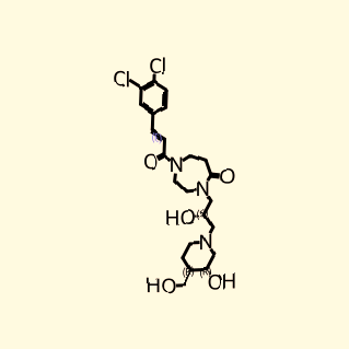 O=C(/C=C/c1ccc(Cl)c(Cl)c1)N1CCC(=O)N(C[C@@H](O)CN2CC[C@H](CO)[C@@H](O)C2)CC1